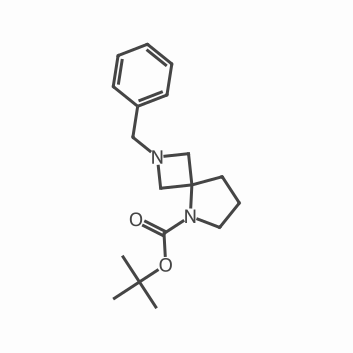 CC(C)(C)OC(=O)N1CCCC12CN(Cc1ccccc1)C2